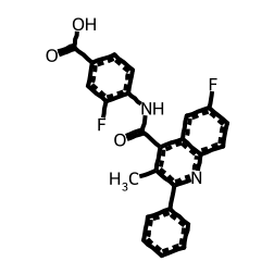 Cc1c(-c2ccccc2)nc2ccc(F)cc2c1C(=O)Nc1ccc(C(=O)O)cc1F